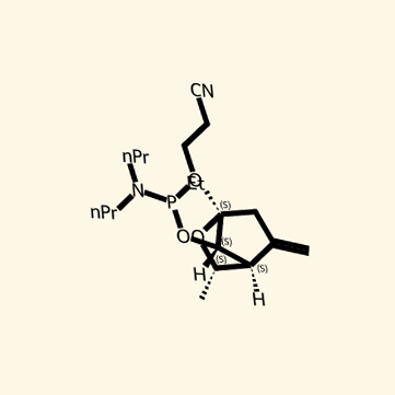 C=C1C[C@]2(CC)O[C@@H](C)[C@H]1[C@@H]2OP(OCCC#N)N(CCC)CCC